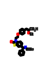 CCOC(Cc1ccc(OCCn2c(=O)sc3cc(/C(=N/OC)c4ccccc4)ccc32)cc1)C(=O)O